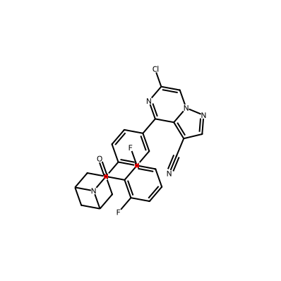 N#Cc1cnn2cc(Cl)nc(-c3ccc(N4CC5CC(C4)N5C(=O)c4c(F)cccc4F)nc3)c12